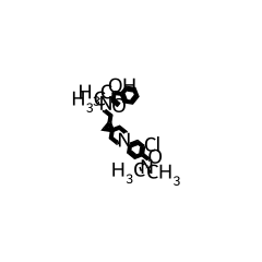 CN(C)C(=O)c1ccc(N2CCC3(CC2)CC3CCN(C)C(=O)[C@](C)(O)c2ccccc2)cc1Cl